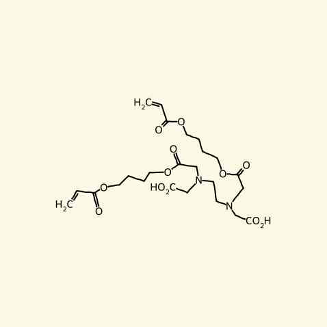 C=CC(=O)OCCCCOC(=O)CN(CCN(CC(=O)O)CC(=O)OCCCCOC(=O)C=C)CC(=O)O